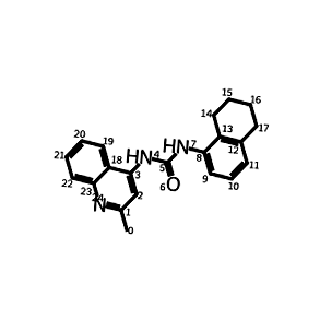 Cc1cc(NC(=O)Nc2cccc3c2CCCC3)c2ccccc2n1